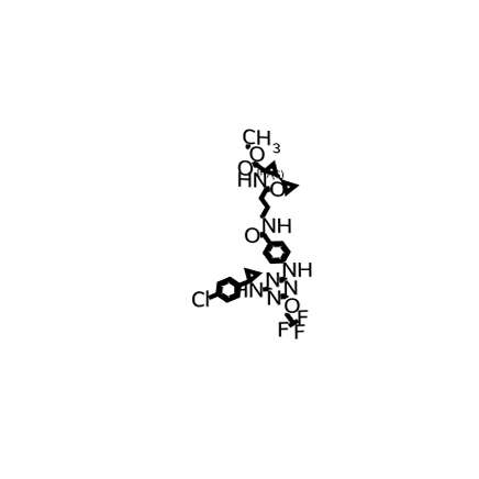 CCOC(=O)[C@@]1(NC(=O)CCCNC(=O)c2ccc(Nc3nc(NC4(c5ccc(Cl)cc5)CC4)nc(OCC(F)(F)F)n3)cc2)C[C@H]1C1CC1